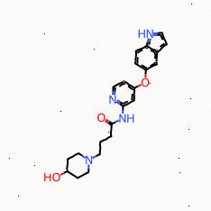 O=C(CCCN1CCC(O)CC1)Nc1cc(Oc2ccc3[nH]ccc3c2)ccn1